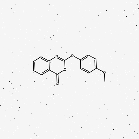 COc1ccc(Oc2nc3ccccc3c(=O)o2)cc1